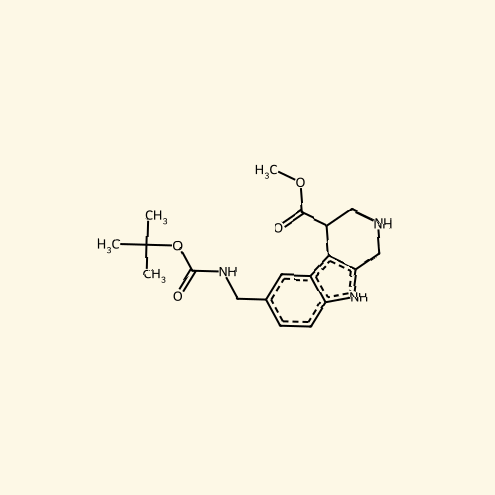 COC(=O)C1CNCc2[nH]c3ccc(CNC(=O)OC(C)(C)C)cc3c21